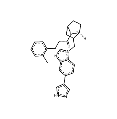 Cc1ccccc1CCC(=O)N1C2CC[C@H]1C(Cn1cnc3cc(-c4cn[nH]c4)ccc31)C2